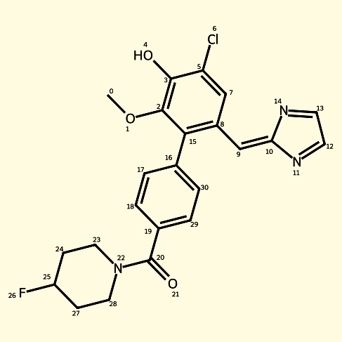 COc1c(O)c(Cl)cc(C=C2N=CC=N2)c1-c1ccc(C(=O)N2CCC(F)CC2)cc1